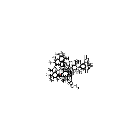 [2H]c1c([2H])c(F)c(F)c(CSc2c([2H])c(=O)c3c([2H])c([2H])c([2H])c([2H])c3n2CC(=O)N(C([2H])([2H])c2c([2H])c([2H])c(-c3c([2H])c([2H])c(C(F)(F)F)c(C)c3[2H])c([2H])c2[2H])C2([2H])C([2H])([2H])C([2H])([2H])N(C([2H])([2H])COC)C([2H])([2H])C2([2H])[2H])c1[2H]